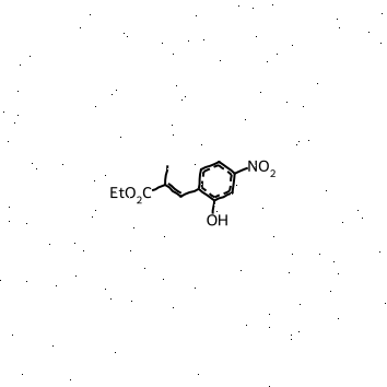 CCOC(=O)C(C)=Cc1ccc([N+](=O)[O-])cc1O